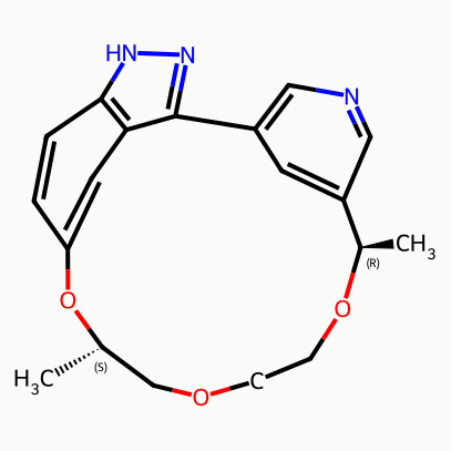 C[C@H]1COCCO[C@H](C)c2cncc(c2)-c2n[nH]c3ccc(cc23)O1